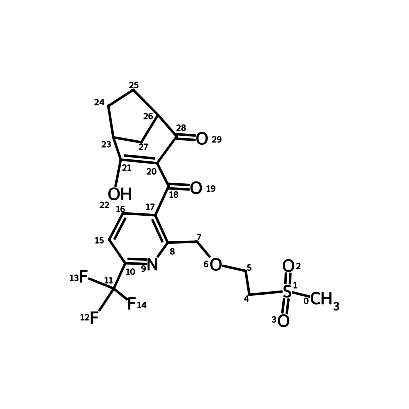 CS(=O)(=O)CCOCc1nc(C(F)(F)F)ccc1C(=O)C1=C(O)C2CCC(C2)C1=O